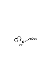 CCCCCCCCCCCCCC[N+](C)(C)Cc1cccc2ccccc12.[Cl-]